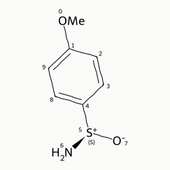 COc1ccc([S@+](N)[O-])cc1